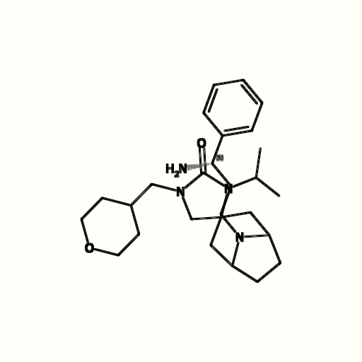 CC(C)N1C(=O)N(CC2CCOCC2)CC12CC1CCC(C2)N1CC[C@H](N)c1ccccc1